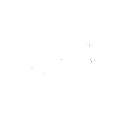 COC1C=C(N2CCC(N(C)C)CC2)C=CC1N